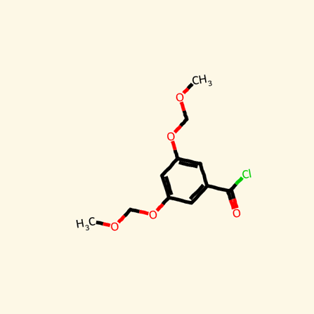 COCOc1cc(OCOC)cc(C(=O)Cl)c1